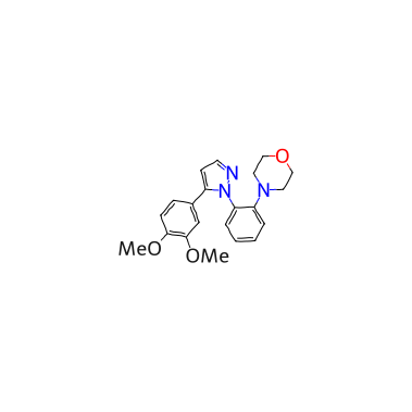 COc1ccc(-c2ccnn2-c2ccccc2N2CCOCC2)cc1OC